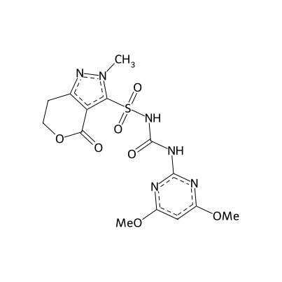 COc1cc(OC)nc(NC(=O)NS(=O)(=O)c2c3c(nn2C)CCOC3=O)n1